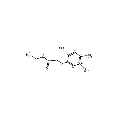 CCOC(=O)CCc1ccc(N)c(C)c1.Cl